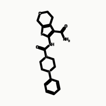 NC(=O)c1c(NC(=O)N2CCN(c3ccccc3)CC2)sc2c1CCOC2